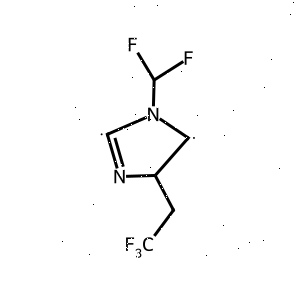 FC(F)N1[C]=NC(CC(F)(F)F)[CH]1